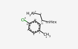 CCCCCCC[CH2][AlH2].Cc1ccc(Cl)cc1